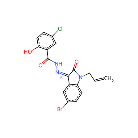 C=CCN1C(=O)/C(=N\NC(=O)c2cc(Cl)ccc2O)c2cc(Br)ccc21